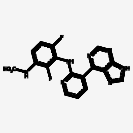 O=C(O)Nc1ccc(F)c(Nc2ncccc2-c2ncnc3[nH]cnc23)c1F